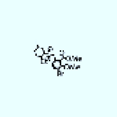 CCC1CCC(I)CC1S(=O)(=O)Cc1ccc(Br)c(OC)c1C(=O)OC